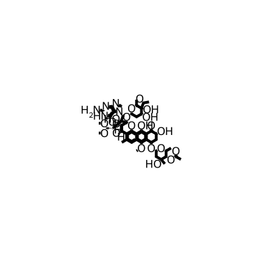 COc1c2c(c(O)c3c4c(c(C)cc13)[C@@H]1O[C@@]3(C(OC)OC)O[C@@H]1[C@@](O[C@H]1CC(O)[C@@](O)(C(C)=O)C(C)O1)(O4)[C@@]3(O)Cn1cnc3nc(N)[nH]c(=O)c31)C(=O)C(O)CC2O[C@H]1CC(C)(O)[C@H](OC(C)=O)C(C)O1